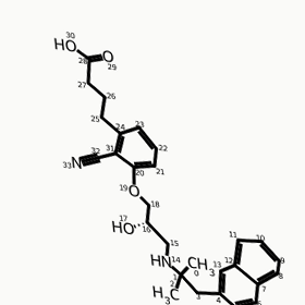 CC(C)(Cc1ccc2ccccc2c1)NC[C@H](O)COc1cccc(CCCC(=O)O)c1C#N